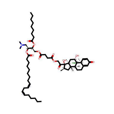 CCCCC/C=C\C/C=C\CCCCCCCC(=O)O[C@@H](CN(C)C)[C@H](COC(=O)CCC(=O)OCC(=O)[C@@]1(O)[C@H](C)C[C@H]2[C@@H]3CCC4=CC(=O)C=C[C@]4(C)[C@@]3(F)[C@@H](O)C[C@@]21C)OC(=O)CCCCCCCC